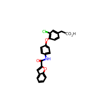 O=C(O)Cc1ccc(Oc2ccc(NC(=O)c3cc4ccccc4o3)cc2)c(Cl)c1